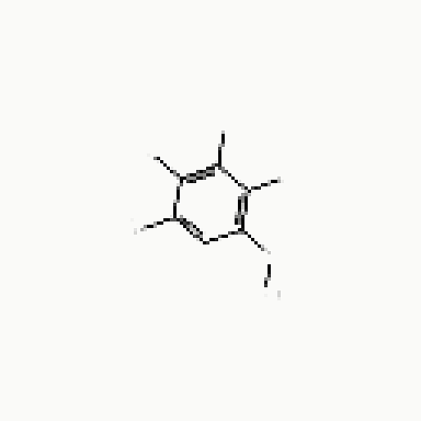 Cl.NNc1cc(Br)c(Br)c(Br)c1Br